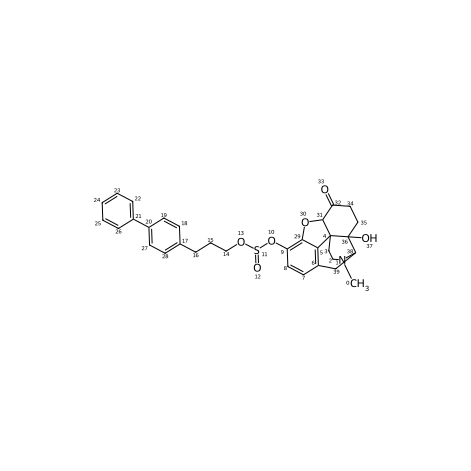 CN1CCC23c4c5ccc(OS(=O)OCCCc6ccc(-c7ccccc7)cc6)c4OC2C(=O)CCC3(O)C1C5